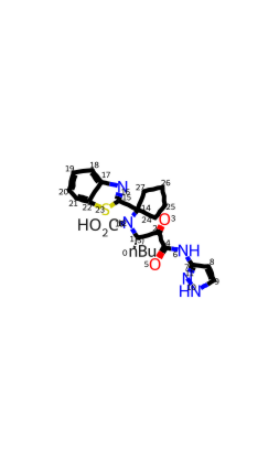 CCCC[C@@H](C(=O)C(=O)Nc1cc[nH]n1)N(C(=O)O)C1(c2nc3ccccc3s2)CCCC1